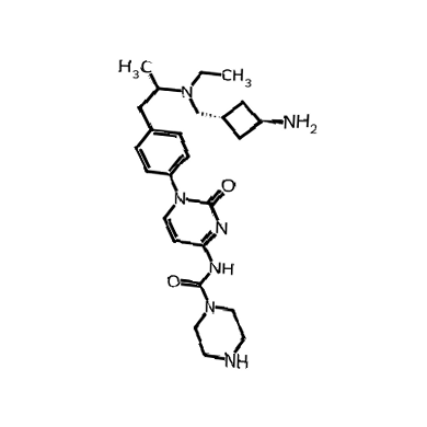 CCN(C[C@H]1C[C@H](N)C1)C(C)Cc1ccc(-n2ccc(NC(=O)N3CCNCC3)nc2=O)cc1